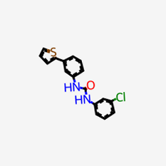 O=C(Nc1cccc(Cl)c1)Nc1cccc(-c2cccs2)c1